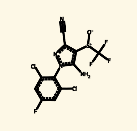 N#Cc1nn(-c2c(Cl)cc(F)cc2Cl)c(N)c1[S+]([O-])C(F)(F)F